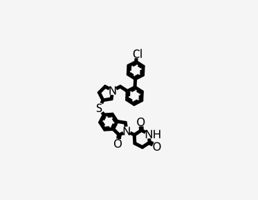 O=C1CCC(N2Cc3cc(SC4CCN(Cc5ccccc5-c5ccc(Cl)cc5)C4)ccc3C2=O)C(=O)N1